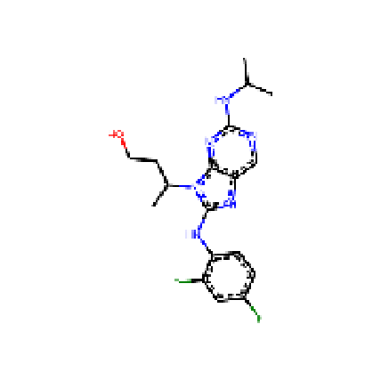 CC(C)Nc1ncc2nc(Nc3ccc(F)cc3F)n(C(C)CCO)c2n1